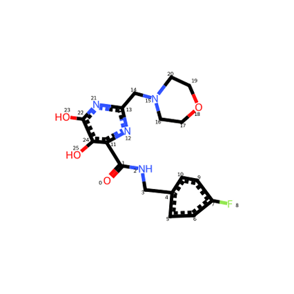 O=C(NCc1ccc(F)cc1)c1nc(CN2CCOCC2)nc(O)c1O